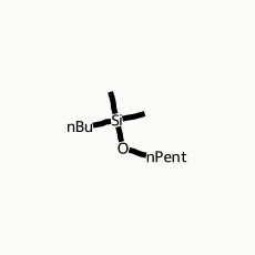 CCCCCO[Si](C)(C)CCCC